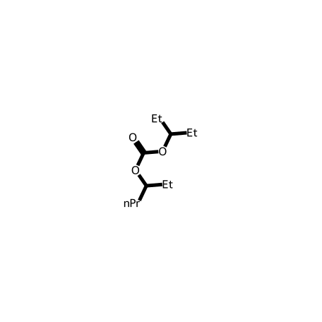 CCCC(CC)OC(=O)OC(CC)CC